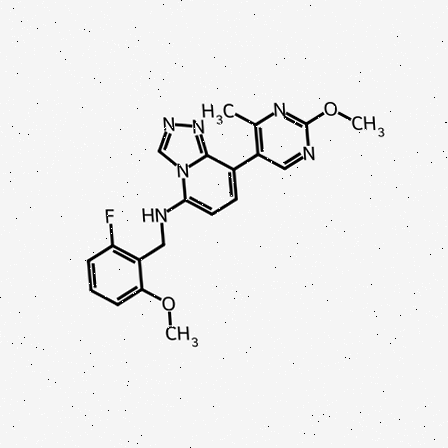 COc1ncc(-c2ccc(NCc3c(F)cccc3OC)n3cnnc23)c(C)n1